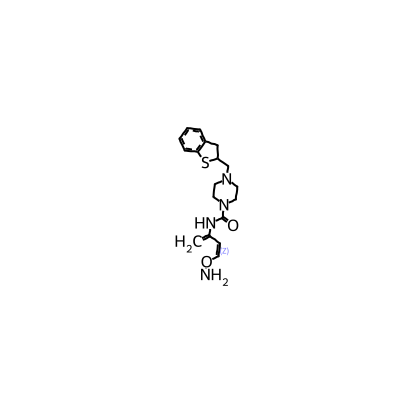 C=C(/C=C\ON)NC(=O)N1CCN(CC2Cc3ccccc3S2)CC1